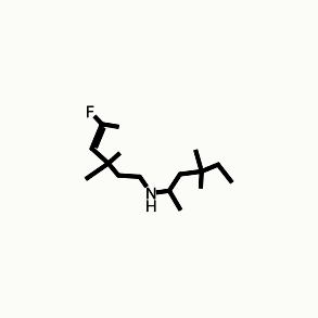 CCC(C)(C)CC(C)NCCC(C)(C)/C=C(\C)F